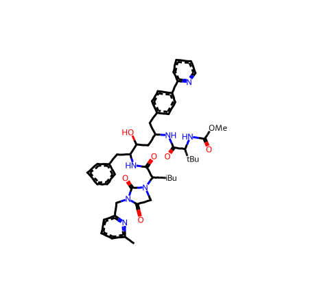 CCC(C)C(C(=O)NC(Cc1ccccc1)C(O)CC(Cc1ccc(-c2ccccn2)cc1)NC(=O)C(NC(=O)OC)C(C)(C)C)N1CC(=O)N(Cc2cccc(C)n2)C1=O